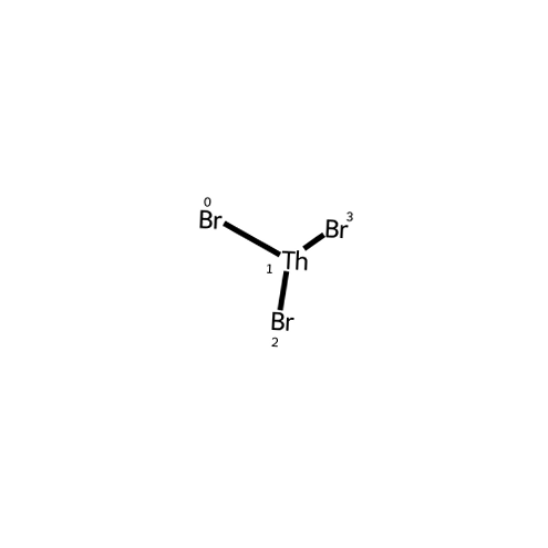 [Br][Th]([Br])[Br]